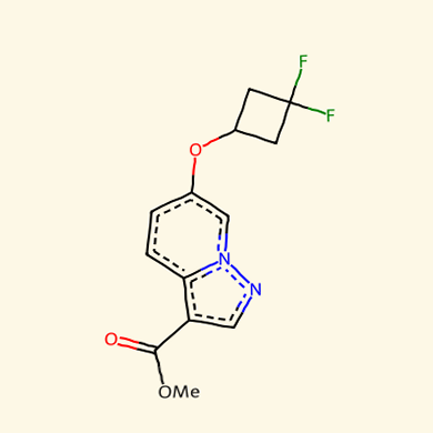 COC(=O)c1cnn2cc(OC3CC(F)(F)C3)ccc12